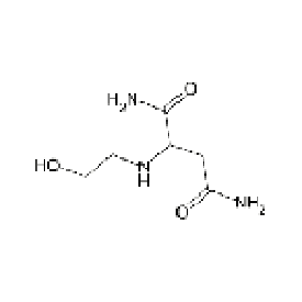 NC(=O)CC(NCCO)C(N)=O